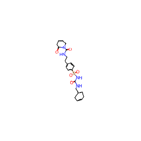 O=C(NCC1CC=CCC1)NS(=O)(=O)c1ccc(CCNC(=O)N2CCCCC2=O)cc1